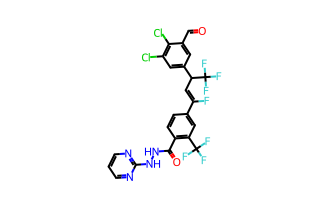 O=Cc1cc(C(C=C(F)c2ccc(C(=O)NNc3ncccn3)c(C(F)(F)F)c2)C(F)(F)F)cc(Cl)c1Cl